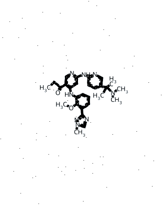 CCC(=O)c1cnc(Nc2ccc(C(C)(C)N(C)C)cn2)cc1Nc1cccc(-c2ncn(C)n2)c1OC